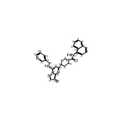 O=C(Nc1cccc2ccccc12)N1CCC(c2cc(NCc3cccnc3)n3ncc(Br)c3n2)CC1